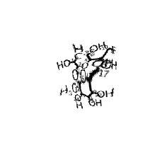 CC(O)[C@H](OC(CO)[C@@H](O)CF)O[C@@]1(C)OC(CO)[C@@H](O)C(O)C1O